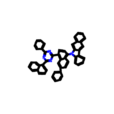 c1ccc(-c2ccc3c(-n4c5ccccc5c5cc6ccccc6cc54)ccc(-c4nc(-c5ccccc5)nc(-c5cccc6ccccc56)n4)c3c2)cc1